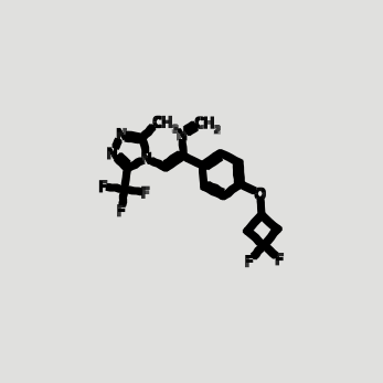 C=N/C(=C\n1c(C)nnc1C(F)(F)F)c1ccc(OC2CC(F)(F)C2)cc1